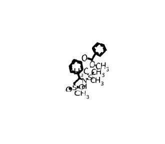 COC(Oc1cccc(C(CS(C)(=O)=O)N[Si](C)(C)C)c1)c1ccccc1